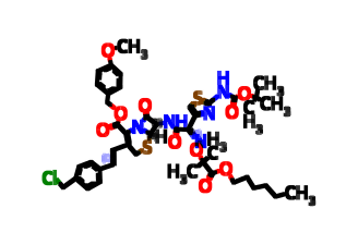 CCCCCCOC(=O)C(C)(C)O/N=C(\C(=O)N[C@@H]1C(=O)N2C(C(=O)OCc3ccc(OC)cc3)=C(/C=C/c3ccc(CCl)cc3)CS[C@@H]12)c1csc(NC(=O)OC(C)(C)C)n1